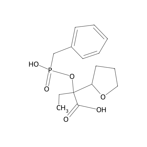 CCC(OP(=O)(O)Cc1ccccc1)(C(=O)O)C1CCCO1